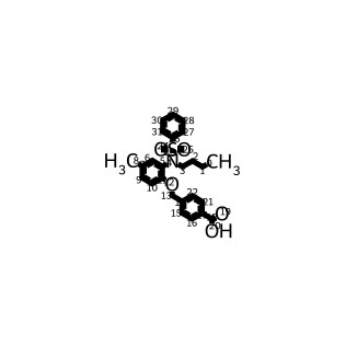 CCCCN(c1cc(C)ccc1OCc1ccc(C(=O)O)cc1)S(=O)(=O)c1ccccc1